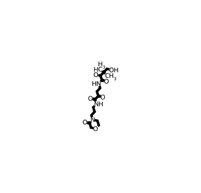 CC(C)(CO)C(O)C(=O)NCCC(=O)C(=O)NCCCN1CCOCC1=O